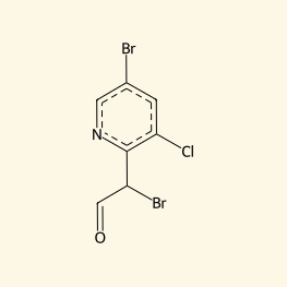 O=CC(Br)c1ncc(Br)cc1Cl